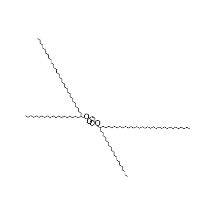 CCCCCCCCCCCCCCCCCCCCCCCCCCCCCCCCC(CCCCCCCCCCCCCCCCCCCC)COC(=O)/C=C\C(=O)OCC(CCCCCCCCCCCCCCCCCCCC)CCCCCCCCCCCCCCCCCCCCCCCCCCCCCCCC